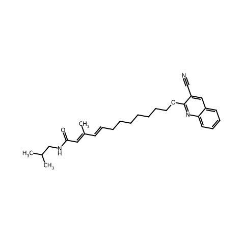 CC(/C=C/CCCCCCCOc1nc2ccccc2cc1C#N)=C\C(=O)NCC(C)C